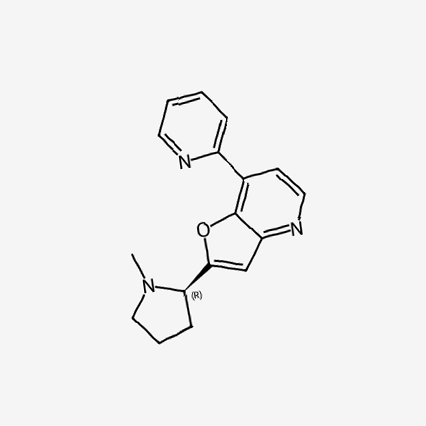 CN1CCC[C@@H]1c1cc2nccc(-c3ccccn3)c2o1